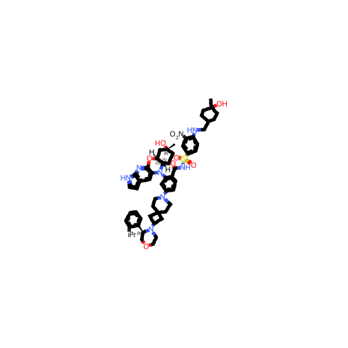 CC(C)c1ccccc1[C@@H]1COCCN1C1CC2(CCN(c3ccc(C(=O)NS(=O)(=O)c4ccc(NCC5CCC(C)(O)CC5)c([N+](=O)[O-])c4)c(N4c5cc6cc[nH]c6nc5O[C@H]5C[C@](C)(O)CC[C@@H]54)c3)CC2)C1